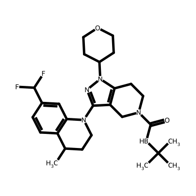 CC1CCN(c2nn(C3CCOCC3)c3c2CN(C(=O)BC(C)(C)C)CC3)c2cc(C(F)F)ccc21